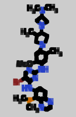 COc1cc(N2CCC(N3CC(N(C)C)C3)C(C)C2)c(C)cc1Nc1ncc(Br)c(Nc2ccc3nccnc3c2P(C)C)n1